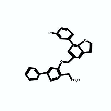 CCOC(=O)Cc1ccc(-c2ccccc2)cc1OCc1cc(-c2cccc(CC)c2)c2occc2c1